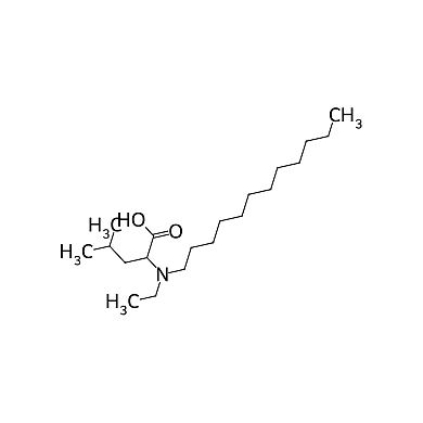 CCCCCCCCCCCCN(CC)C(CC(C)C)C(=O)O